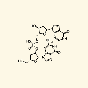 Nc1nc2c(ncn2[C@@H]2O[C@H](CO)C[C@H]2OP(=O)(S)OC[C@H]2O[C@@H](n3ccc4c(=O)[nH]cnc43)C[C@@H]2O)c(=O)[nH]1